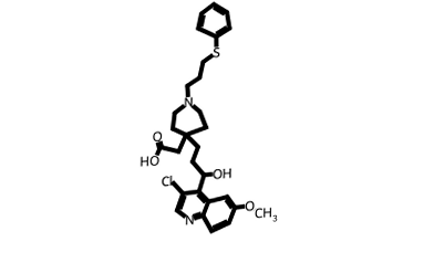 COc1ccc2ncc(Cl)c(C(O)CCC3(CC(=O)O)CCN(CCCSc4ccccc4)CC3)c2c1